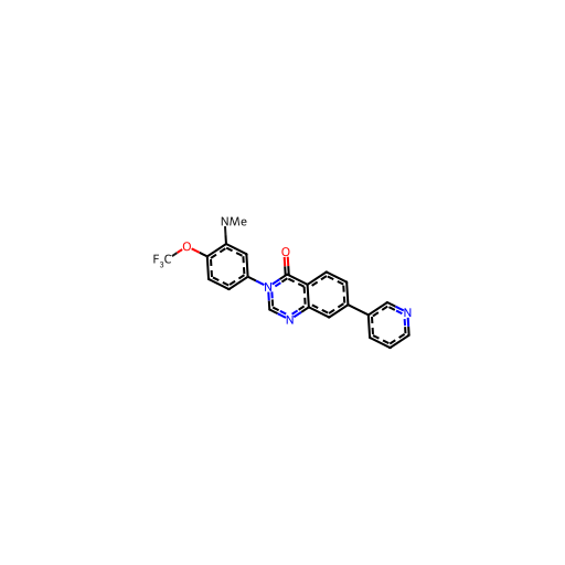 CNc1cc(-n2cnc3cc(-c4cccnc4)ccc3c2=O)ccc1OC(F)(F)F